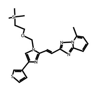 Cc1cccc2nc(C=Cc3nc(-c4ccsc4)cn3COCC[Si](C)(C)C)nn12